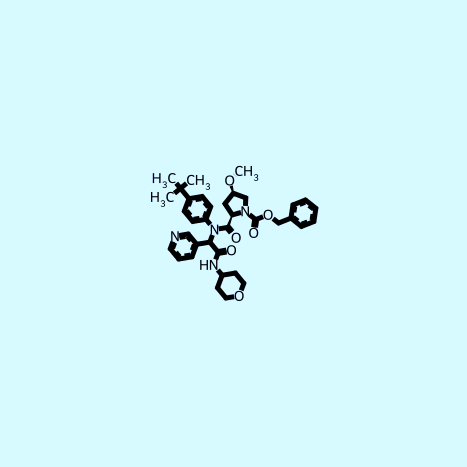 CO[C@@H]1C[C@H](C(=O)N(c2ccc(C(C)(C)C)cc2)C(C(=O)NC2CCOCC2)c2cccnc2)N(C(=O)OCc2ccccc2)C1